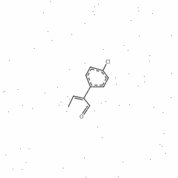 CC=C(C=O)c1ccc(Cl)cc1